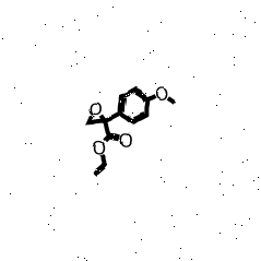 CCOC(=O)C1(c2ccc(OC)cc2)CO1